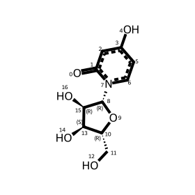 O=c1cc(O)ccn1[C@@H]1O[C@H](CO)[C@@H](O)[C@H]1O